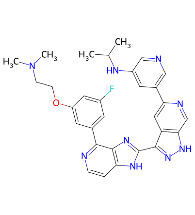 CC(C)Nc1cncc(-c2cc3c(-c4nc5c(-c6cc(F)cc(OCCN(C)C)c6)nccc5[nH]4)n[nH]c3cn2)c1